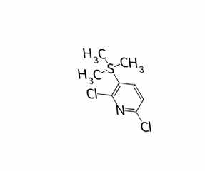 CS(C)(C)c1ccc(Cl)nc1Cl